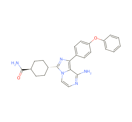 Nc1nccn2c1c(-c1ccc(Oc3ccccc3)cc1)nc2[C@H]1CC[C@H](C(N)=O)CC1